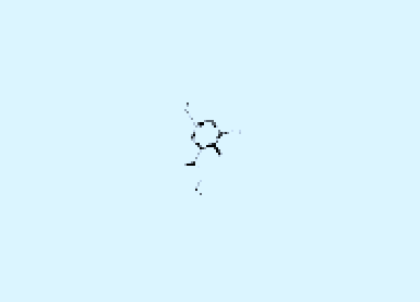 O=C(OCC(F)(F)F)c1cn(CC(F)(F)F)cc(Br)c1=O